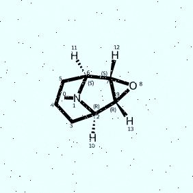 CN1[C@@H]2CCC[C@H]1[C@@H]1O[C@@H]12